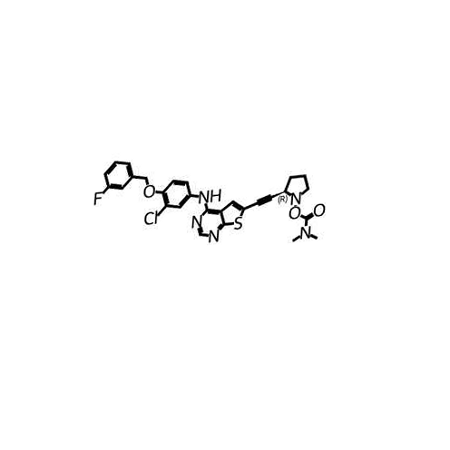 CN(C)C(=O)ON1CCC[C@@H]1C#Cc1cc2c(Nc3ccc(OCc4cccc(F)c4)c(Cl)c3)ncnc2s1